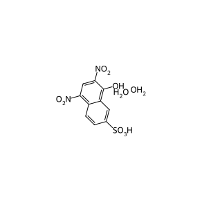 O.O.O=[N+]([O-])c1cc([N+](=O)[O-])c2ccc(S(=O)(=O)O)cc2c1O